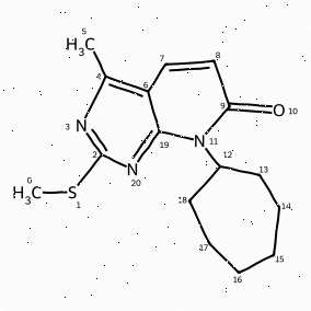 CSc1nc(C)c2ccc(=O)n(C3CCCCCC3)c2n1